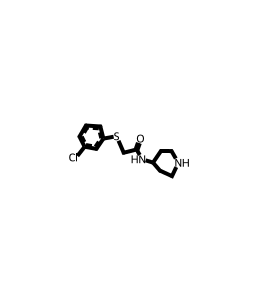 O=C(CSc1cccc(Cl)c1)NC1CCNCC1